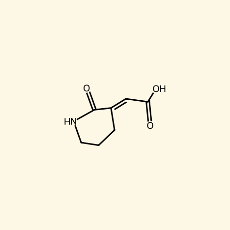 O=C(O)C=C1CCCNC1=O